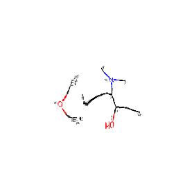 CC(O)C(C)N(C)C.CCOCC